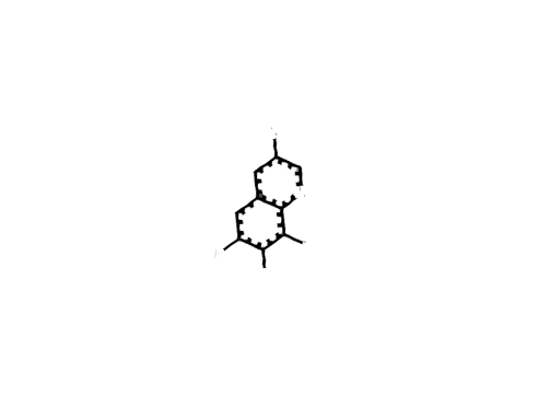 O=[N+]([O-])c1cnc2c(F)c(Cl)c(F)cc2c1